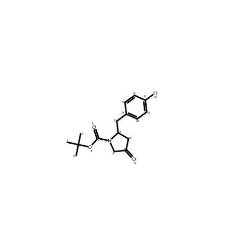 CC(C)(C)OC(=O)N1CC(=O)CC1Cc1ccc(Cl)cc1